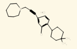 CC1(C)CCC(c2ccc(C#CCN3CCCCCC3)cc2Cl)CC1.Cl